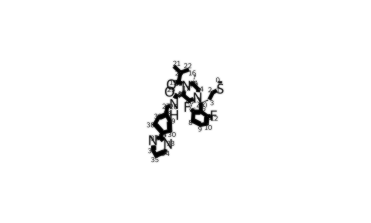 CSCC[C@H](c1c(F)cccc1F)N1C[C@@H](C)N(C(=O)C(C)C)[C@@H](C(=O)NCc2ccc(-c3ncccn3)cc2)C1